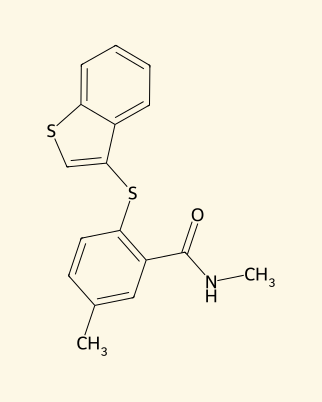 CNC(=O)c1cc(C)ccc1Sc1csc2ccccc12